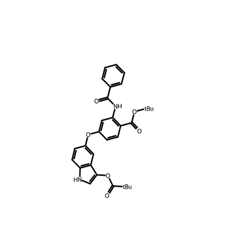 CC(C)(C)OC(=O)c1ccc(Oc2ccc3[nH]cc(OC(=O)C(C)(C)C)c3c2)cc1NC(=O)c1ccccc1